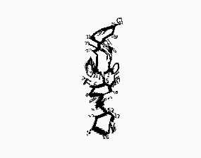 CN1C(=O)N(c2c(F)cc(C#Cc3cccnc3)cc2F)C(=O)CC1(C)c1ccc(Cl)cc1